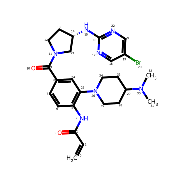 C=CC(=O)Nc1ccc(C(=O)N2CC[C@H](Nc3ncc(Br)cn3)C2)cc1N1CCC(N(C)C)CC1